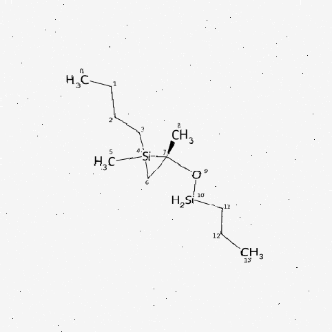 CCCC[Si]1(C)C[C@@]1(C)O[SiH2]CCC